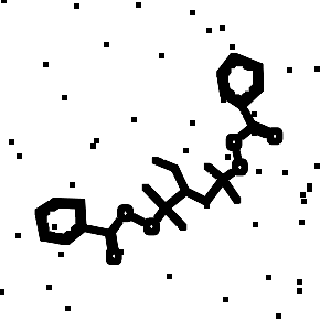 CCC(CC(C)(C)OOC(=O)c1ccccc1)C(C)(C)OOC(=O)c1ccccc1